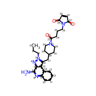 CCCn1nc2c(N)nc3ccccc3c2c1CC1CCN(C(=O)CCCN2C(=O)C=CC2=O)CC1